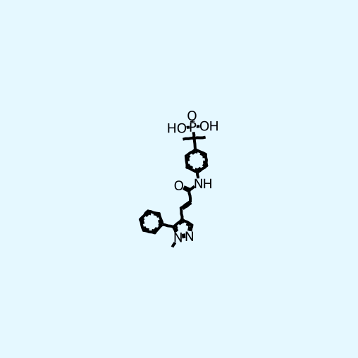 Cn1ncc(/C=C/C(=O)Nc2ccc(C(C)(C)P(=O)(O)O)cc2)c1-c1ccccc1